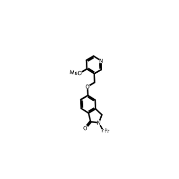 CCCN1Cc2cc(OCc3cnccc3OC)ccc2C1=O